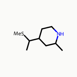 CSC(C)C1CCNC(C)C1